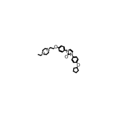 CCN1CCN(CCOc2ccc(-n3ccn(-c4ccc(OC5CCCC5)cc4)c3=O)cc2)CC1